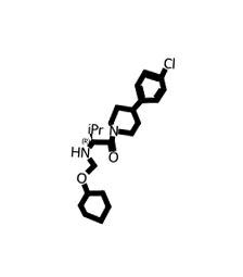 CC(C)[C@@H](NCOC1CCCCC1)C(=O)N1CCC(c2ccc(Cl)cc2)CC1